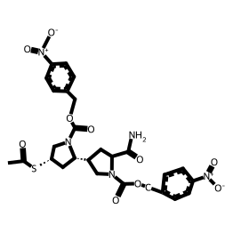 CC(=O)S[C@H]1C[C@@H](C2CC(C(N)=O)N(C(=O)OCc3ccc([N+](=O)[O-])cc3)C2)N(C(=O)OCc2ccc([N+](=O)[O-])cc2)C1